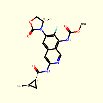 C[C@H]1COC(=O)N1c1cc2cc(NC(=O)[C@@H]3C[C@H]3C#N)ncc2c(NC(=O)OC(C)(C)C)c1F